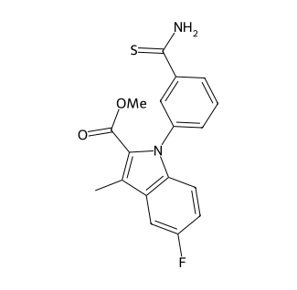 COC(=O)c1c(C)c2cc(F)ccc2n1-c1cccc(C(N)=S)c1